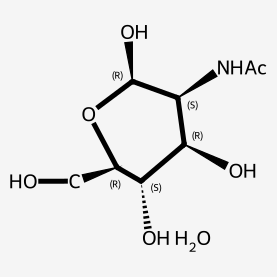 CC(=O)N[C@H]1[C@@H](O)[C@H](O)[C@@H](CO)O[C@H]1O.O